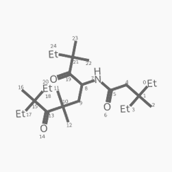 CCC(C)(CC)CC(=O)NC(CC(C)(C)C(=O)C(C)(CC)CC)C(=O)C(C)(C)CC